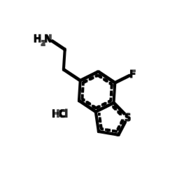 Cl.NCCc1cc(F)c2sccc2c1